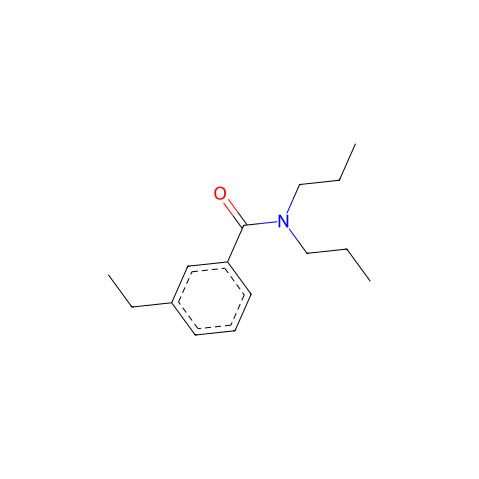 CCCN(CCC)C(=O)c1cccc(CC)c1